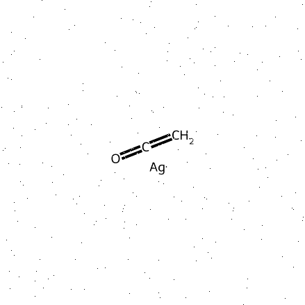 C=C=O.[Ag]